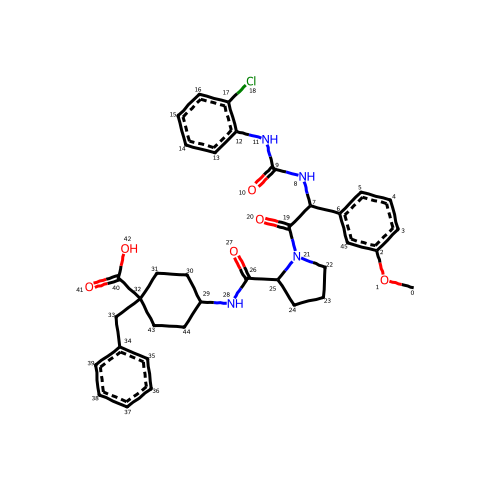 COc1cccc(C(NC(=O)Nc2ccccc2Cl)C(=O)N2CCCC2C(=O)NC2CCC(Cc3ccccc3)(C(=O)O)CC2)c1